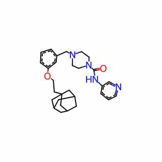 O=C(Nc1cccnc1)N1CCN(Cc2cccc(OCCC34CC5CC(CC(C5)C3)C4)c2)CC1